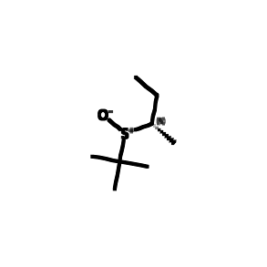 CC[C@H](C)[S+]([O-])C(C)(C)C